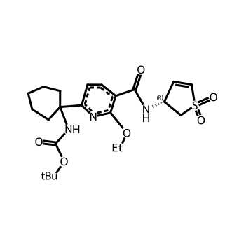 CCOc1nc(C2(NC(=O)OC(C)(C)C)CCCCC2)ccc1C(=O)N[C@@H]1C=CS(=O)(=O)C1